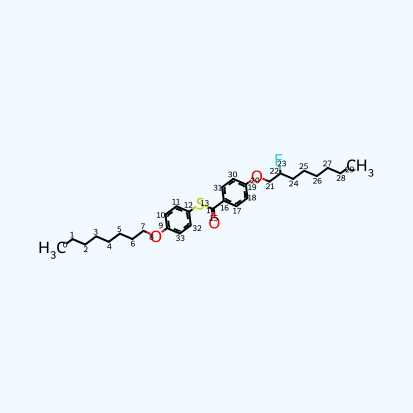 CCCCCCCCOc1ccc(SC(=O)c2ccc(OCC(F)CCCCCC)cc2)cc1